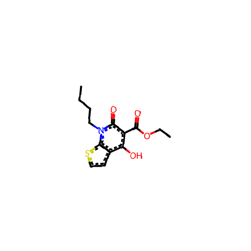 CCCCn1c(=O)c(C(=O)OCC)c(O)c2ccsc21